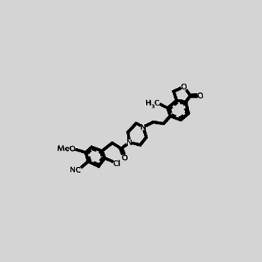 COc1cc(CC(=O)N2CCN(CCc3ccc4c(c3C)COC4=O)CC2)c(Cl)cc1C#N